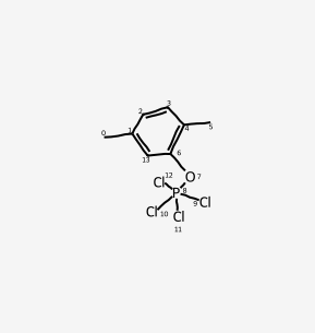 Cc1ccc(C)c(OP(Cl)(Cl)(Cl)Cl)c1